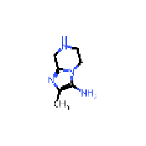 Cc1nc2n(c1N)CCNC2